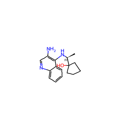 C[C@H](Nc1c(N)cnc2ccccc12)C1(O)CCCC1